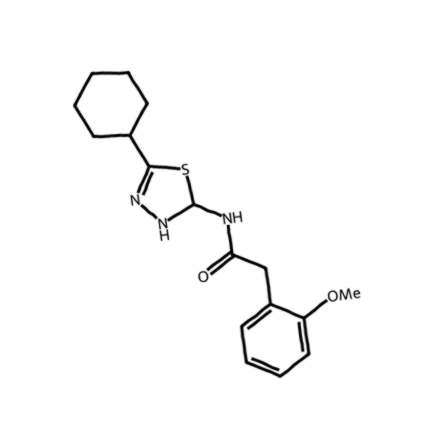 COc1ccccc1CC(=O)NC1NN=C(C2CCCCC2)S1